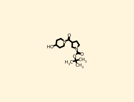 CC(C)(C)OC(=O)N1CCC(C(=O)N2CCC(O)CC2)C1